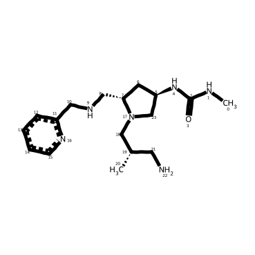 CNC(=O)N[C@@H]1C[C@@H](CNCc2ccccn2)N(C[C@@H](C)CN)C1